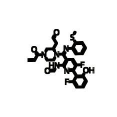 C=CC(=O)N1CCN(/C(=N/c2ccccc2SC)c2cc(F)c(-c3c(O)cccc3F)nc2NC=O)C(CC=O)C1